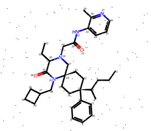 CCCC(C)[C@]1(c2ccccc2)CC[C@]2(CC1)CN(CC(=O)Nc1cccnc1C)C(CC)C(=O)N2CC1CCC1